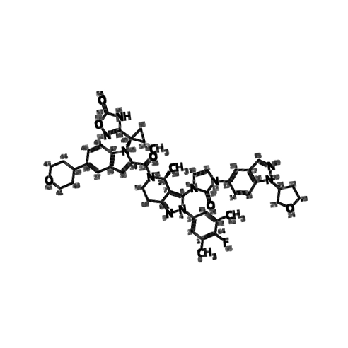 Cc1cc(-n2nc3c(c2-n2ccn(-c4ccc5c(cnn5C5CCOC5)c4)c2=O)[C@H](C)N(C(=O)c2cc4cc(C5CCOCC5)ccc4n2[C@@]2(c4noc(=O)[nH]4)C[C@@H]2C)CC3)cc(C)c1F